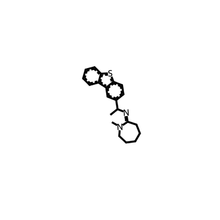 CC(N=C1CCCCCN1C)c1ccc2sc3ccccc3c2c1